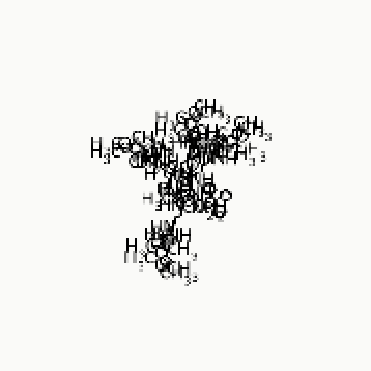 Cc1c(C)c(S(=O)(=O)NC(=N)NCCC[C@@H](NC(=O)[C@@H](C)NC(=O)[C@@H](CCCNC(=N)NS(=O)(=O)c2c(C)c(C)c3c(c2C)CC(C)(C)O3)NC(=O)[C@@H](CCCNC(=N)NS(=O)(=O)c2c(C)c(C)c3c(c2C)CC(C)(C)O3)NC(=O)[C@@H](CCCNC(=N)NS(=O)(=O)c2c(C)c(C)c3c(c2C)CC(C)(C)O3)NC(=O)[C@@H](C)NC(=O)[C@H](N)CSC(c2ccccc2)(c2ccccc2)c2ccccc2)C(=O)O)c(C)c2c1OC(C)(C)C2